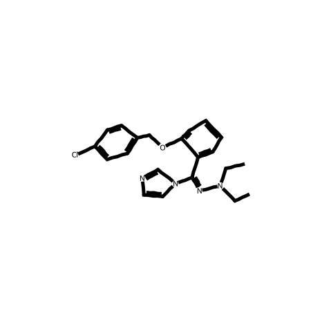 CCN(CC)/N=C(\c1ccccc1OCc1ccc(Cl)cc1)n1ccnc1